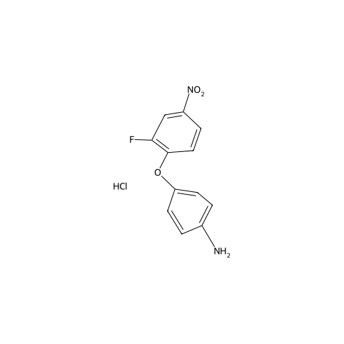 Cl.Nc1ccc(Oc2ccc([N+](=O)[O-])cc2F)cc1